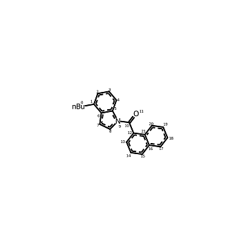 CCCCc1cccc2c1ccn2C(=O)c1cccc2ccccc12